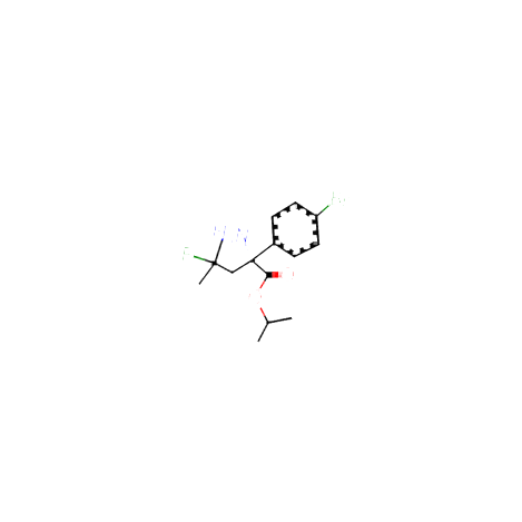 CC(C)OC(=O)[C@@](N)(CC(C)(C)F)c1ccc(Br)cc1